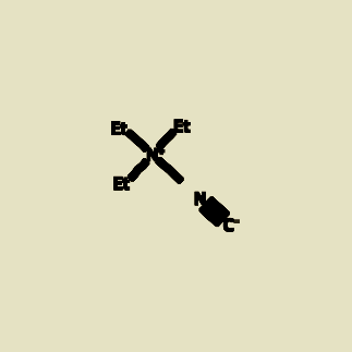 CC[N+](C)(CC)CC.[C-]#N